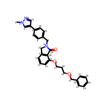 Cn1cc(-c2ccc(CN3Cc4cccc(OCCCOCc5ccccc5)c4C3=O)cc2)cn1